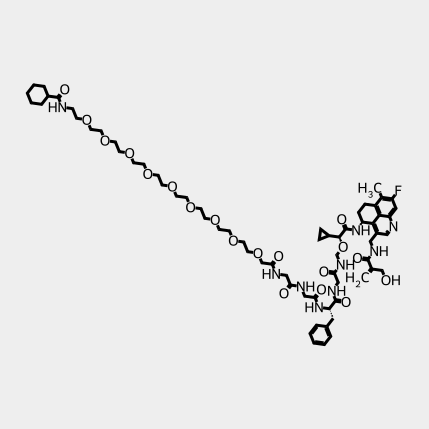 C=C(CO)C(=O)NCc1cnc2cc(F)c(C)c3c2c1[C@@H](NC(=O)[C@@H](OCNC(=O)CNC(=O)[C@H](Cc1ccccc1)NC(=O)CNC(=O)CNC(=O)COCCOCCOCCOCCOCCOCCOCCOCCOCCNC(=O)C1CCCCC1)C1CC1)CC3